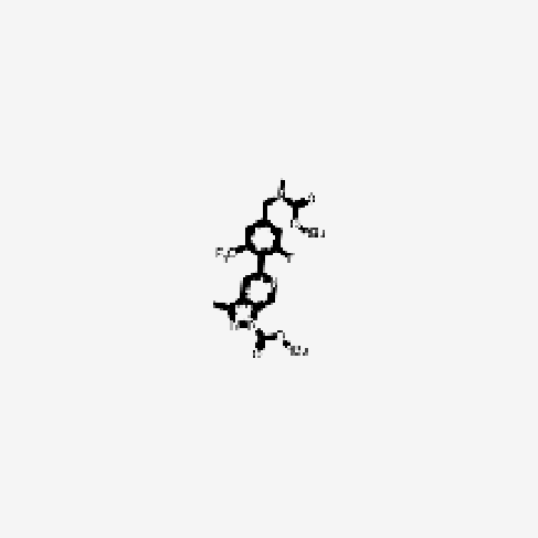 Cc1nn(C(=O)OC(C)(C)C)c2cnc(-c3c(F)cc(CN(C)C(=O)OC(C)(C)C)cc3C(F)(F)F)cc12